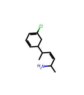 CC(N)/C=C\C(C)C1C=CC=C(Cl)C1